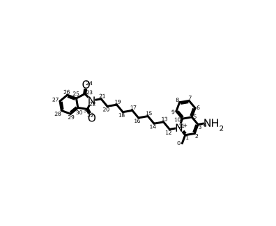 Cc1cc(N)c2ccccc2[n+]1CCCCCCCCCCN1C(=O)c2ccccc2C1=O